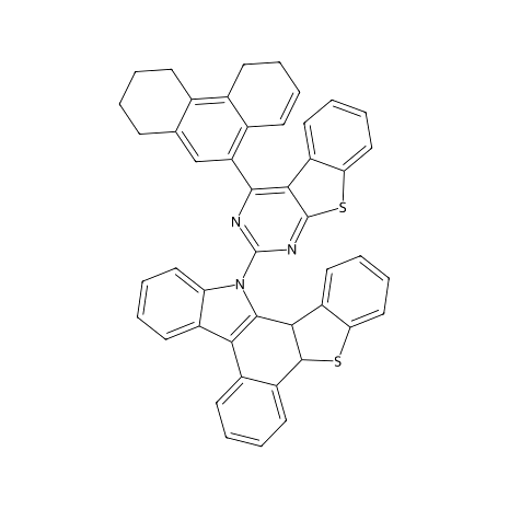 C1=Cc2c(-c3nc(-n4c5c(c6ccccc64)-c4ccccc4C4Sc6ccccc6C54)nc4sc5ccccc5c34)cc3c(c2CC1)CCCC3